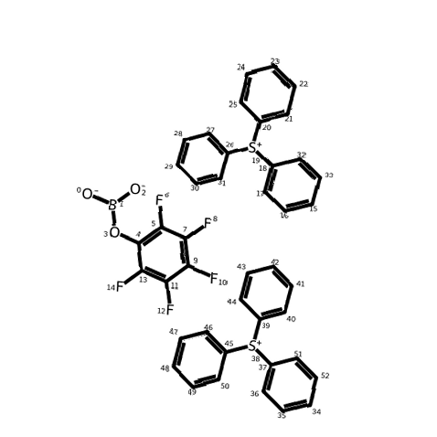 [O-]B([O-])Oc1c(F)c(F)c(F)c(F)c1F.c1ccc([S+](c2ccccc2)c2ccccc2)cc1.c1ccc([S+](c2ccccc2)c2ccccc2)cc1